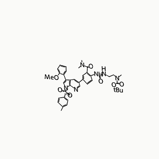 COc1ccccc1-c1cn(S(=O)(=O)c2ccc(C)cc2)c2ncc(-c3ccc(NC(=O)NCCN(C)C(=O)OC(C)(C)C)c(C(=O)N(C)C)c3)cc12